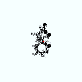 CNC(=O)c1ccccc1Sc1ccc2c(CCc3ccccn3)nn(C(=O)N(CCOC(C)=O)CCC(=O)N[C@@H](CCN)C(=O)N[C@H](C(=O)N[C@@H](CCN)C(=O)N[C@H]3CCNC(=O)[C@H]([C@@H](C)O)NC(=O)[C@H](CCN)NC(=O)[C@H](CCN)NC(=O)[C@H](CC(C)C)NC(=O)[C@@H](Cc4ccccc4)NC(=O)[C@H](CCN)NC3=O)[C@@H](C)O)c2c1